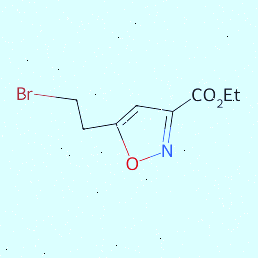 CCOC(=O)c1cc(CCBr)on1